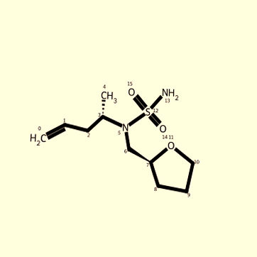 C=CC[C@H](C)N(C[C@@H]1CCCO1)S(N)(=O)=O